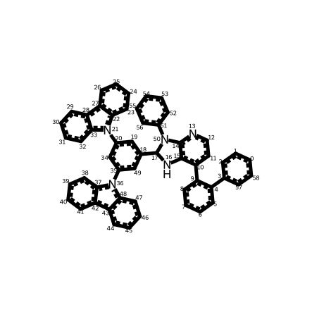 c1ccc(-c2ccccc2-c2ccnc3c2NC(c2cc(-n4c5ccccc5c5ccccc54)cc(-n4c5ccccc5c5ccccc54)c2)N3c2ccccc2)cc1